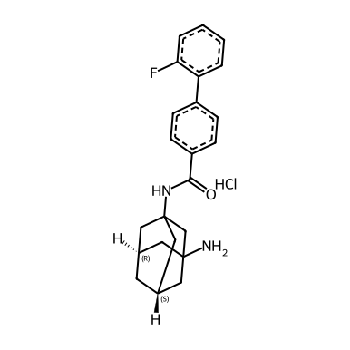 Cl.NC12C[C@H]3C[C@@H](C1)CC(NC(=O)c1ccc(-c4ccccc4F)cc1)(C3)C2